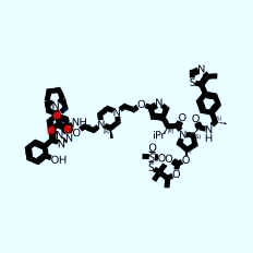 Cc1ncsc1-c1ccc([C@H](C)NC(=O)[C@@H]2C[C@@H](OC(=O)OC(C)C(C)(C)SS(C)(=O)=O)CN2C(=O)[C@@H](C2=CC(OCCN3CCN(CCOc4cc(N5C6CCC5CN(c5cc(-c7ccccc7O)nnc5N)C6)ccn4)[C@H](C)C3)=NC2)C(C)C)cc1